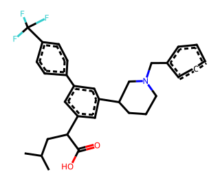 CC(C)CC(C(=O)O)c1cc(-c2ccc(C(F)(F)F)cc2)cc(C2CCCN(Cc3ccccc3)C2)c1